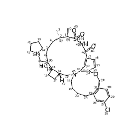 C[C@@H]1[C@@H](C)CCC[C@](O)(CN2CCCC2)[C@@H]2CC[C@H]2CN2CCCCc3cc(Cl)ccc3COc3ccc(cc32)C(=O)NS1(=O)=O